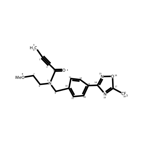 CC#CC(=O)N(CCOC)Cc1ccc(-c2noc(C(F)(F)F)n2)cc1